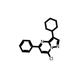 Clc1cc(-c2ccccc2)nc2c(C3CCCCC3)cnn12